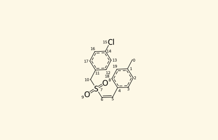 Cc1ccc(/C=C\S(=O)(=O)Cc2ccc(Cl)cc2)cc1